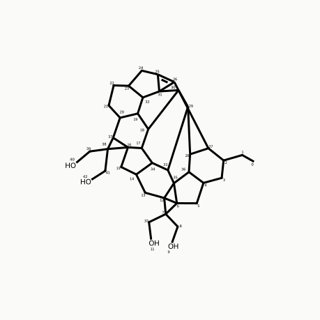 CCC1CC2CC34C(CO)(CO)C35CC3CC67C8C9C%10C(CCC%11CC%12=C%13C1C1C(C9C%12%13C%11%10)C(C38)C54C21)C6C7(CO)CO